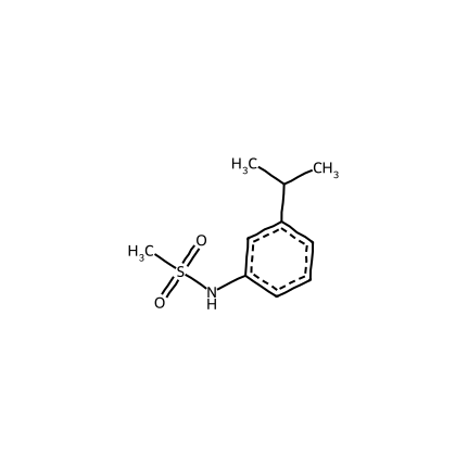 CC(C)c1cccc(NS(C)(=O)=O)c1